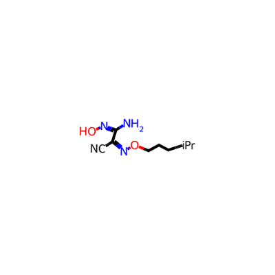 CC(C)CCCO/N=C(C#N)\C(N)=N/O